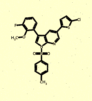 COc1c(F)cccc1-c1cn(S(=O)(=O)c2ccc(C)cc2)c2ncc(-c3ccc(Cl)s3)cc12